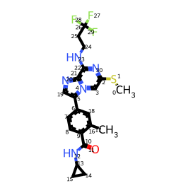 CSc1cn2c(-c3ccc(C(=O)NC4CC4)c(C)c3)cnc2c(NCCC(F)(F)F)n1